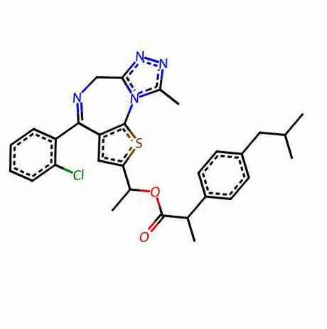 Cc1nnc2n1-c1sc(C(C)OC(=O)C(C)c3ccc(CC(C)C)cc3)cc1C(c1ccccc1Cl)=NC2